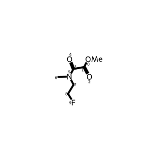 COC(=O)C(=O)N(C)CCF